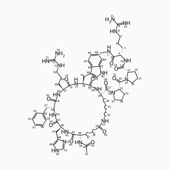 CNC(=O)[C@H](CCCNC(=N)N)NC(=O)[C@@H]1CCCN1C(=O)[C@@H]1CCCN1C(=O)[C@@H]1CCCNC(=O)CC[C@H](NC(C)=O)C(=O)N[C@@H](Cc2c[nH]cn2)C(=O)N[C@H](Cc2ccccc2)C(=O)N[C@@H](CCCNC(=N)N)C(=O)N[C@@H](Cc2c[nH]c3ccccc23)C(=O)N1